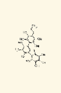 Bc1c(O)c(-c2c(O)c(O)c(CN=C)c(O)c2O)c2sc3c(O)c(O)c(O)c(O)c3c2c1O